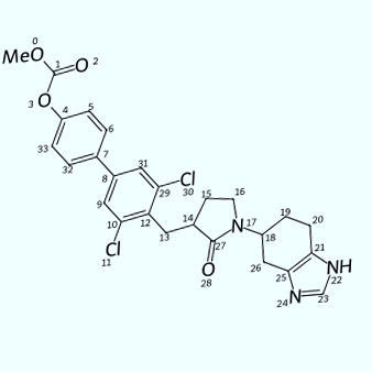 COC(=O)Oc1ccc(-c2cc(Cl)c(CC3CCN(C4CCc5[nH]cnc5C4)C3=O)c(Cl)c2)cc1